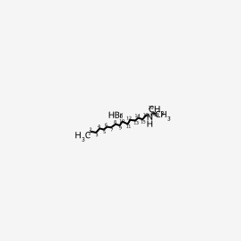 Br.CCCCCCCCCCCCCCCCNC(C)C